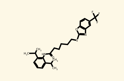 CC(C)c1cccc(C(C)C)c1NC(=O)CCCCCSc1nc2cc(C(F)(F)F)ccc2o1